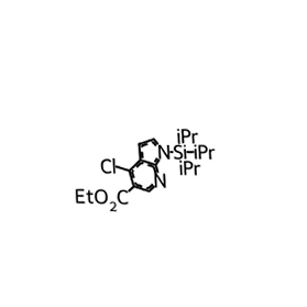 CCOC(=O)c1cnc2c(ccn2[Si](C(C)C)(C(C)C)C(C)C)c1Cl